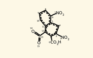 O=C(O)c1c([N+](=O)[O-])cc2c([N+](=O)[O-])cccc2c1I(=O)=O